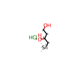 Cl.OCCC(O)[CH2][Sn]